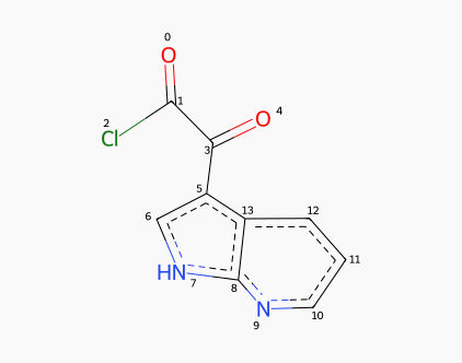 O=C(Cl)C(=O)c1c[nH]c2ncccc12